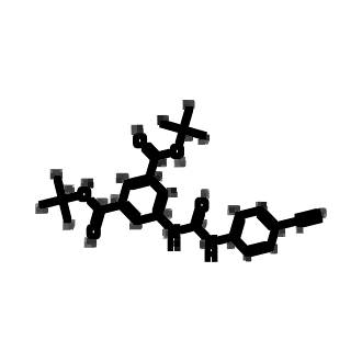 C#Cc1ccc(NC(=O)Nc2cc(C(=O)OC(C)(C)C)cc(C(=O)OC(C)(C)C)c2)cc1